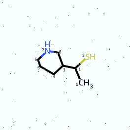 CC(S)C1CCCNC1